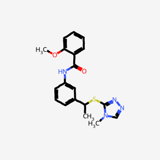 COc1ccccc1C(=O)Nc1cccc(C(C)Sc2nncn2C)c1